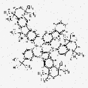 CC(C)(C)c1ccc(N2B3c4oc5cc6c(cc5c4N(c4ccc5c(c4)C(C)(C)CCC5(C)C)c4c3c(cc3c4oc4ccccc43)-c3cc4c(cc32)C(C)(C)c2cc3c(cc2-4)C(C)(C)CCC3(C)C)C(C)(C)CCC6(C)C)cc1